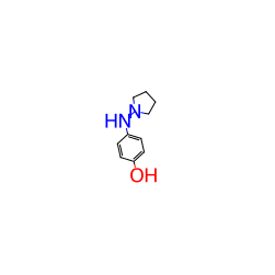 Oc1ccc(NN2CCCC2)cc1